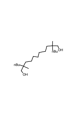 CCCCC(C)(CO)CCCCCCCC(C)(CO)CCCC